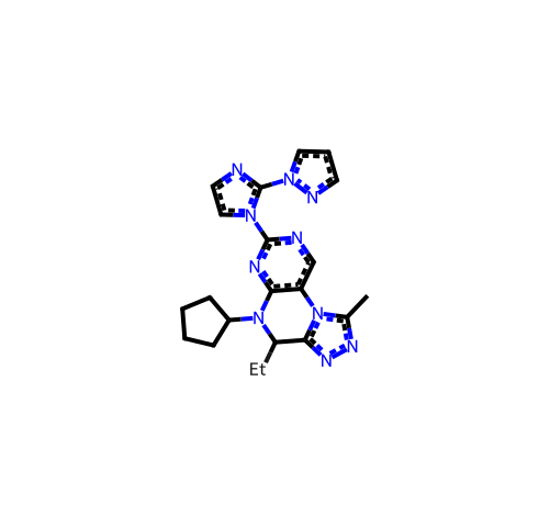 CCC1c2nnc(C)n2-c2cnc(-n3ccnc3-n3cccn3)nc2N1C1CCCC1